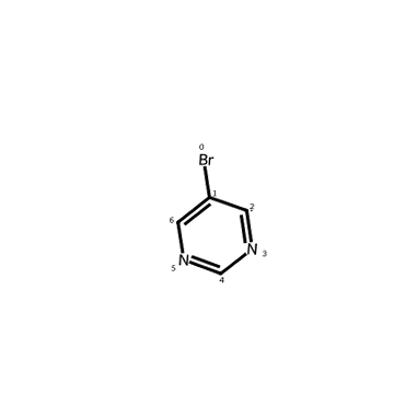 Brc1[c]ncnc1